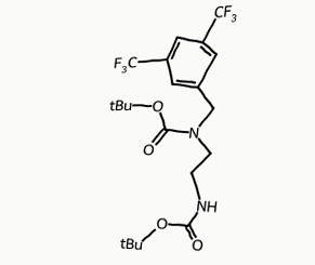 CC(C)(C)OC(=O)NCCN(Cc1cc(C(F)(F)F)cc(C(F)(F)F)c1)C(=O)OC(C)(C)C